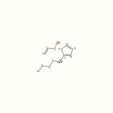 C=CCBr.CCC[CH2][Zr][C]1=CC=CC1